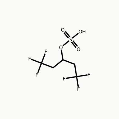 O=S(=O)(O)OC(CC(F)(F)F)CC(F)(F)F